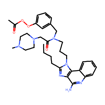 CCCCc1nc2c(N)nc3ccccc3c2n1CCCN(Cc1cccc(OOC(C)=O)c1)C(=O)CN1CCN(C)CC1